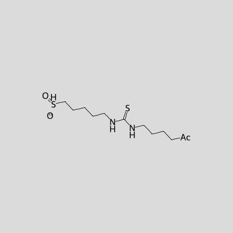 CC(=O)CCCCNC(=S)NCCCCC[SH](=O)=O